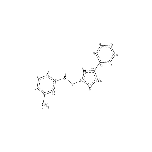 Cc1ccnc(SCc2nc(-c3ccccc3)no2)n1